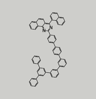 c1ccc(-c2cc(-c3ccccc3)cc(-c3cccc(-c4cccc(-c5ccc(-c6ccc(-c7nc(-c8cccc9ccccc89)c8ccc9ccccc9c8n7)cc6)cc5)c4)c3)c2)cc1